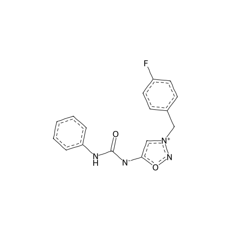 O=C([N-]c1c[n+](Cc2ccc(F)cc2)no1)Nc1ccccc1